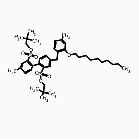 CCCCCCCCCCOc1cc(C)ccc1Cc1ccc(-c2ccc(C)cc2S(=O)(=O)OCC(C)(C)C)c(S(=O)(=O)OCC(C)(C)C)c1